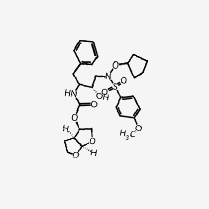 COc1ccc(S(=O)(=O)N(C[C@H](O)C(Cc2ccccc2)NC(=O)O[C@H]2CO[C@H]3OCC[C@H]32)OC2CCCC2)cc1